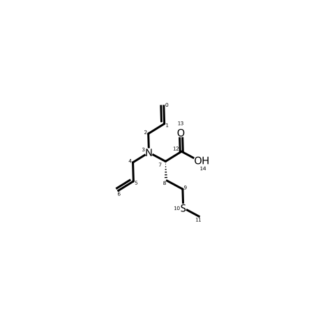 C=CCN(CC=C)[C@@H](CCSC)C(=O)O